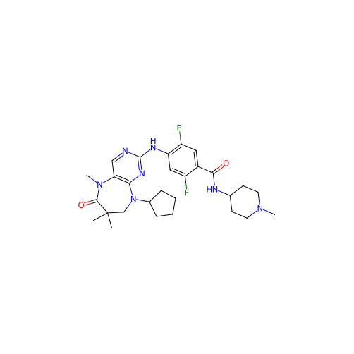 CN1CCC(NC(=O)c2cc(F)c(Nc3ncc4c(n3)N(C3CCCC3)CC(C)(C)C(=O)N4C)cc2F)CC1